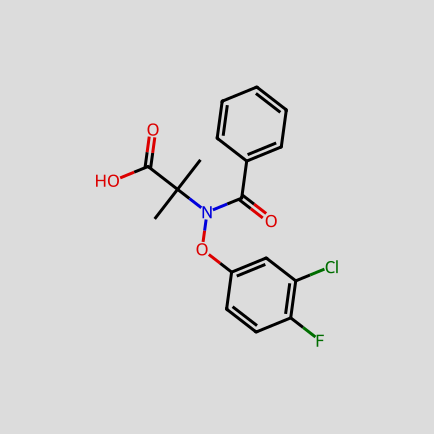 CC(C)(C(=O)O)N(Oc1ccc(F)c(Cl)c1)C(=O)c1ccccc1